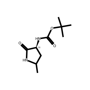 CC1C[C@H](NC(=O)OC(C)(C)C)C(=O)N1